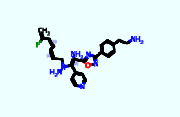 C=C(F)/C=C\C=C/CN(N)/C(=C(\N)c1nc(-c2ccc(CCN)cc2)no1)c1ccncc1